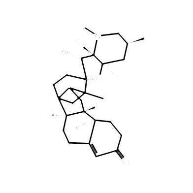 C[C@H]1C[C@H]2O[C@]3(CCC45CC3(C)C4C[C@H]3[C@H]5CCC4=CC(=O)CC[C@@]43C)[C@H](C)[C@@H]2N(C)C1